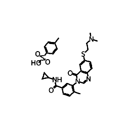 Cc1ccc(C(=O)NC2CC2)cc1-n1cnc2ccc(SCCN(C)C)cc2c1=O.Cc1ccc(S(=O)(=O)O)cc1